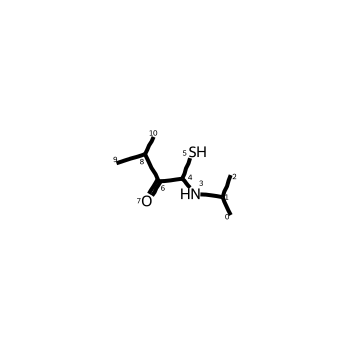 CC(C)NC(S)C(=O)C(C)C